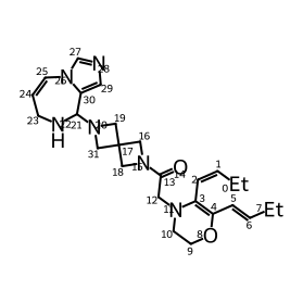 CC/C=C\C1=C(/C=C/CC)OCCN1CC(=O)N1CC2(C1)CN(C1NCC=Cn3cncc31)C2